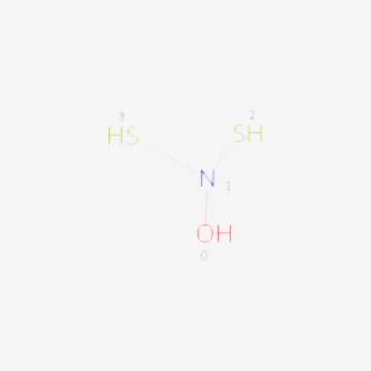 ON(S)S